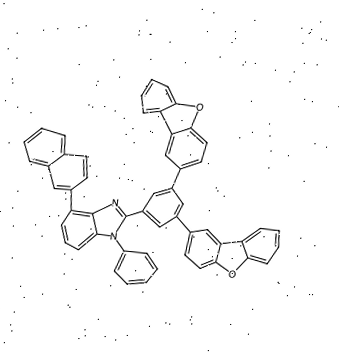 c1ccc(-n2c(-c3cc(-c4ccc5oc6ccccc6c5c4)cc(-c4ccc5oc6ccccc6c5c4)c3)nc3c(-c4ccc5ccccc5c4)cccc32)cc1